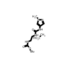 CC(=O)O.Cn1cc(NC(=O)NCCNC(=O)OC(C)(C)C)cn1